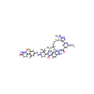 Cc1cc2cc(n1)-c1cnn(C)c1OCCC[C@@H](C)CN1/C(=N/C2=O)Nc2ccc(C(=O)N(C)[C@@H]3CCN(CCc4cc(F)c([C@H]5CCC(=O)NC5=O)c(F)c4)C[C@H]3C)cc21